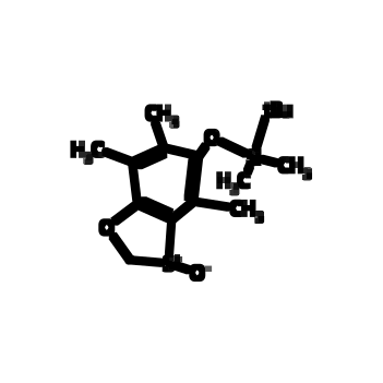 Cc1c(C)c2c(c(C)c1O[Si](C)(C)C(C)(C)C)[S+]([O-])CO2